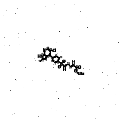 Cc1cc2c(-c3ccc(S(=O)(=O)NCCNC(=O)OC(C)(C)C)cc3)c(Cl)cnc2[nH]1